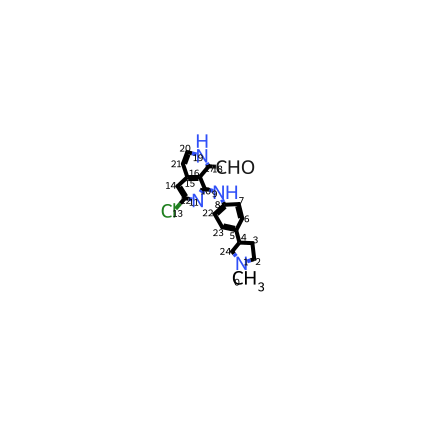 CN1CCC(c2ccc(Nc3nc(Cl)cc4c3C(C=O)NC=C4)cc2)C1